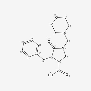 O=C(O)C1CN(CC2CCOCC2)C(=O)C1Cc1ccccc1